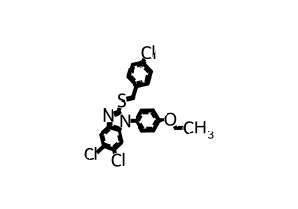 CCOc1ccc(-n2c(SCc3ccc(Cl)cc3)nc3cc(Cl)c(Cl)cc32)cc1